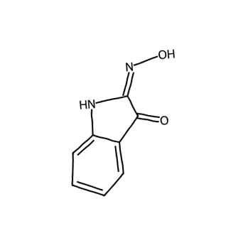 O=C1C(=NO)Nc2ccccc21